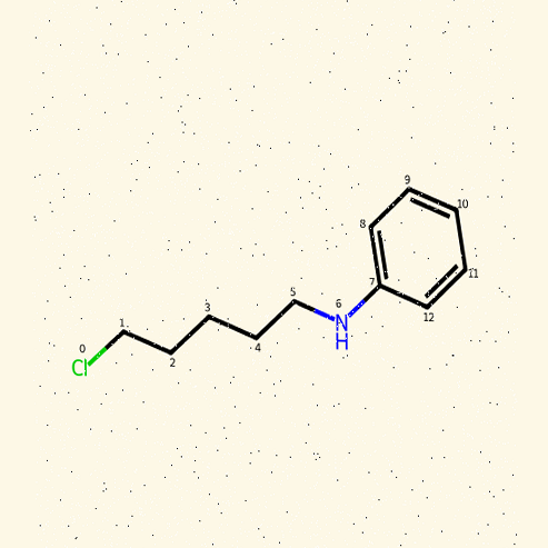 ClCCCCCNc1ccccc1